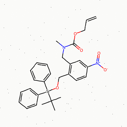 C=CCOC(=O)N(C)Cc1cc([N+](=O)[O-])ccc1CO[Si](c1ccccc1)(c1ccccc1)C(C)(C)C